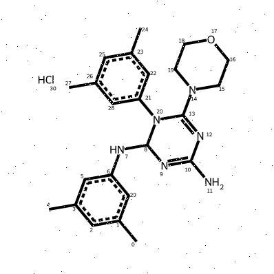 Cc1cc(C)cc(NC2N=C(N)N=C(N3CCOCC3)N2c2cc(C)cc(C)c2)c1.Cl